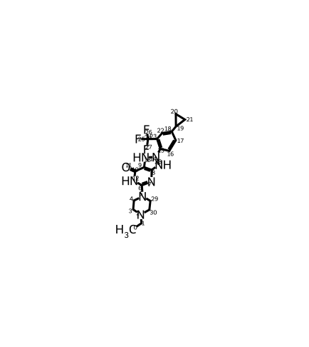 CCN1CCN(c2nc3c(c(=O)[nH]2)NN(c2ccc(C4CC4)cc2C(F)(F)F)N3)CC1